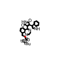 CC(C)(C)OC[N@+]12CCN=C(C3=C(c4c[nH]c5ccccc45)C(=O)NC3=O)C3=CC=CC(=CC1C(=O)OC(C)(C)C)C32